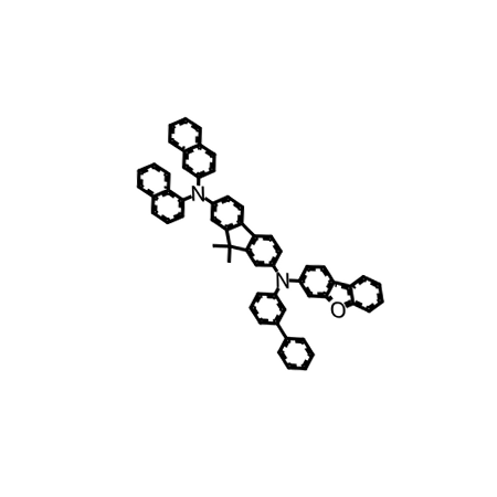 CC1(C)c2cc(N(c3cccc(-c4ccccc4)c3)c3ccc4c(c3)oc3ccccc34)ccc2-c2ccc(N(c3ccc4ccccc4c3)c3cccc4ccccc34)cc21